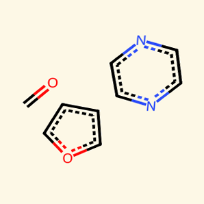 C=O.c1ccoc1.c1cnccn1